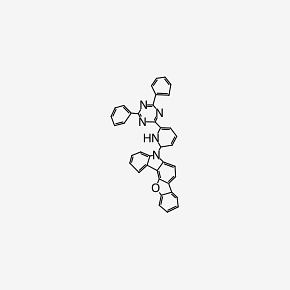 C1=CC(n2c3ccccc3c3c4oc5ccccc5c4ccc32)NC(c2nc(-c3ccccc3)nc(-c3ccccc3)n2)=C1